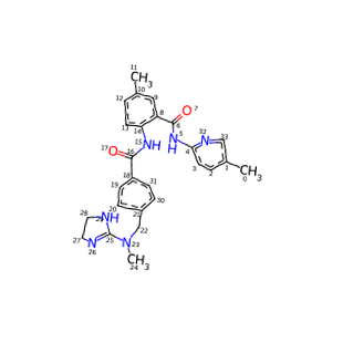 Cc1ccc(NC(=O)c2cc(C)ccc2NC(=O)c2ccc(CN(C)C3=NCCN3)cc2)nc1